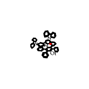 N#Cc1c(-c2ccccc2)c(-c2ccccc2)c(-n2c3ccc(-n4c5ccccc5c5ccccc54)cc3c3cc(-n4c5ccccc5c5ccccc54)ccc32)c(-c2ccccc2)c1-c1ccccc1